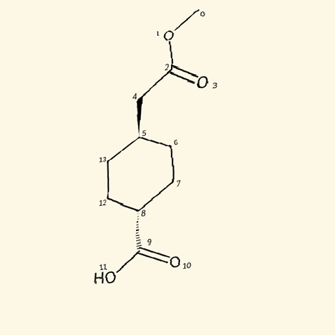 COC(=O)C[C@H]1CC[C@H](C(=O)O)CC1